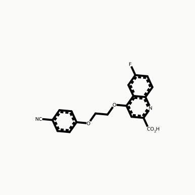 N#Cc1ccc(OCCOc2cc(C(=O)O)nc3ccc(F)cc23)cc1